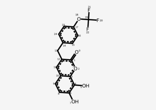 O=c1oc2c(O)c(O)ccc2cc1Cc1ccc(OC(F)(F)F)cc1